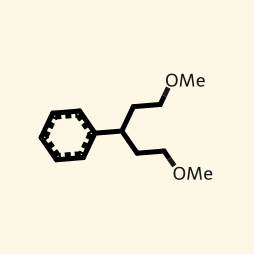 COCCC(CCOC)c1ccccc1